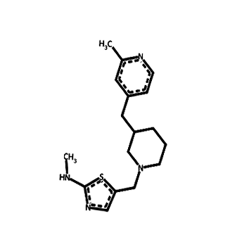 CNc1ncc(CN2CCCC(Cc3ccnc(C)c3)C2)s1